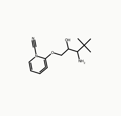 CC(C)(C)C(N)C(O)COC1=C=CC=CN1C#N